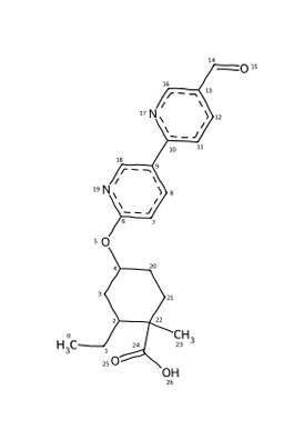 CCC1CC(Oc2ccc(-c3ccc(C=O)cn3)cn2)CCC1(C)C(=O)O